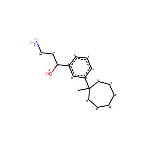 CC1(c2cccc(C(O)CCN)c2)CCCCCC1